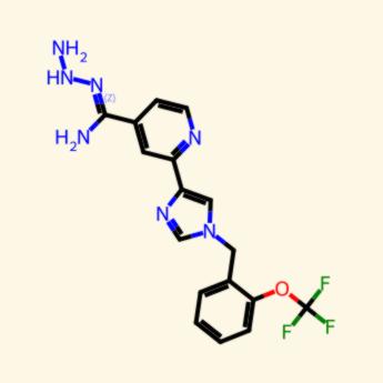 NN/N=C(\N)c1ccnc(-c2cn(Cc3ccccc3OC(F)(F)F)cn2)c1